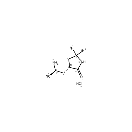 Cl.[2H]C1([2H])C[C@@H](C[C@H](N)C#N)C(=O)N1